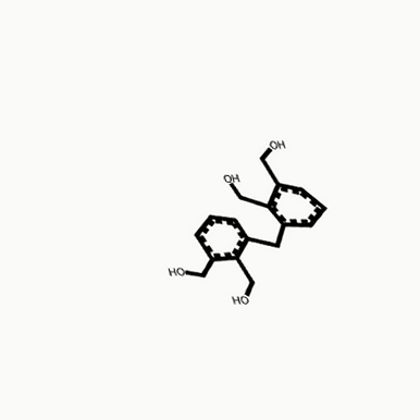 OCc1cccc(Cc2cccc(CO)c2CO)c1CO